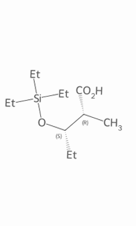 CC[C@H](O[Si](CC)(CC)CC)[C@@H](C)C(=O)O